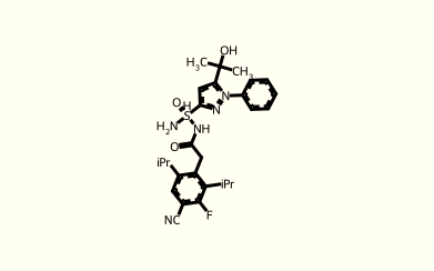 CC(C)c1cc(C#N)c(F)c(C(C)C)c1CC(=O)N[SH](N)(=O)c1cc(C(C)(C)O)n(-c2ccccc2)n1